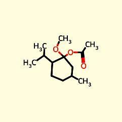 COC1(OC(C)=O)CC(C)CCC1C(C)C